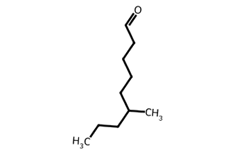 CCCC(C)CCCCC=O